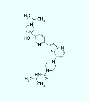 CC(C)NC(=O)N1CCN(c2ccnn3cc(-c4ccc([C@@]5(O)CCN(C(C)C)C5)cn4)cc23)CC1